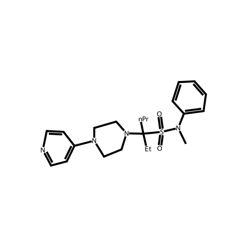 CCCC(CC)(N1CCN(c2ccncc2)CC1)S(=O)(=O)N(C)c1ccccc1